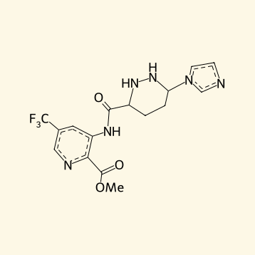 COC(=O)c1ncc(C(F)(F)F)cc1NC(=O)C1CCC(n2ccnc2)NN1